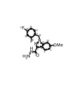 COc1ccc2c(C(=O)NN)nn(Cc3ccc(F)cc3F)c2c1